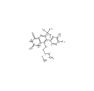 CO[C@H](CO)CSc1c(-c2ccc(F)c(Cl)c2)c(C(F)(F)F)cc2c(=O)[nH]c(=O)[nH]c12